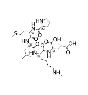 CSCC[C@H](NC(=O)[C@@H]1CCCN1)C(=O)N[C@@H](CC(C)C)C(=O)N[C@@H](CCCCN)C(=O)N[C@@H](CCC(=O)O)C(=O)O